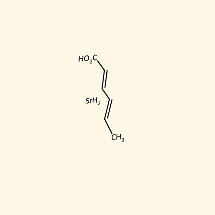 C/C=C/C=C/C(=O)O.[SrH2]